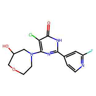 O=c1[nH]c(-c2ccnc(F)c2)nc(N2CCOCC(O)C2)c1Cl